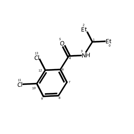 CCC(CC)NC(=O)c1cccc(Cl)c1Cl